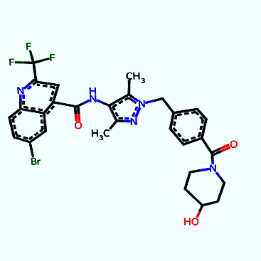 Cc1nn(Cc2ccc(C(=O)N3CCC(O)CC3)cc2)c(C)c1NC(=O)c1cc(C(F)(F)F)nc2ccc(Br)cc12